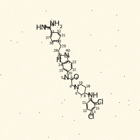 CN(C(=O)CN1CCC(Nc2ccc(Cl)cc2Cl)CC1)c1ccc2c(c1)nc(CCc1ccc(C(=N)N)cc1)n2C